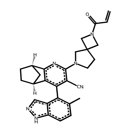 C=CC(=O)N1CC2(CCN(c3nc4c(c(-c5c(C)ccc6[nH]ncc56)c3C#N)[C@H]3CC[C@@H]4C3)C2)C1